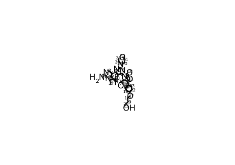 Nc1ncc(-c2cc(N3C(=O)OC(c4ccc(OCCCO)cc4)C3CO)nc(N3CCOCC3)n2)c(C(F)(F)F)n1